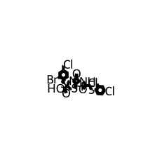 O=C(CSc1ccc(Cl)cc1Cl)N[C@@H]1C(=O)N2CC(Sc3ccc(CCl)cc3Br)(C(=O)O)CS[C@H]12